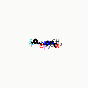 C[N+](C)(Cc1ccc(CNC(=O)C=Cc2cccc(C(F)(F)F)c2)cc1)C1CCOCC1.[I-]